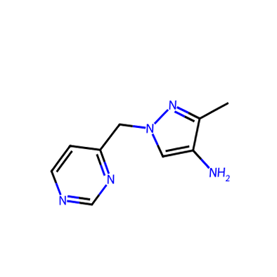 Cc1nn(Cc2ccncn2)cc1N